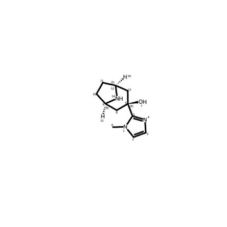 Cn1ccnc1[C@]1(O)C[C@H]2CC[C@@H](C1)N2